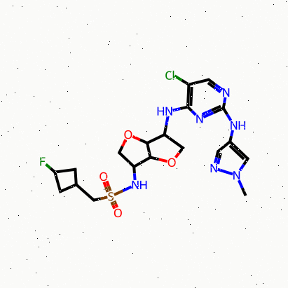 Cn1cc(Nc2ncc(Cl)c(NC3COC4C(NS(=O)(=O)CC5CC(F)C5)COC34)n2)cn1